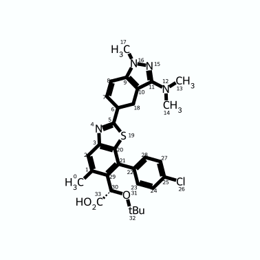 Cc1cc2nc(C3C=Cc4c(c(N(C)C)nn4C)C3)sc2c(-c2ccc(Cl)cc2)c1[C@H](OC(C)(C)C)C(=O)O